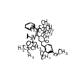 COc1ccc(CC(CC(O[Si](C)(C)C(C)(C)C)C(Cc2ccccc2)NC(=O)OC(C)(C)C)C(=O)O)c(OC)c1